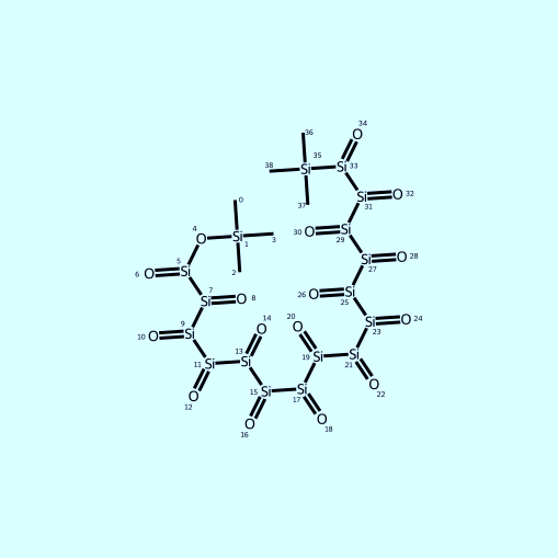 C[Si](C)(C)O[Si](=O)[Si](=O)[Si](=O)[Si](=O)[Si](=O)[Si](=O)[Si](=O)[Si](=O)[Si](=O)[Si](=O)[Si](=O)[Si](=O)[Si](=O)[Si](=O)[Si](=O)[Si](C)(C)C